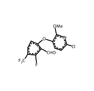 COc1nc(Cl)ccc1Oc1ccc(C(F)(F)F)c(F)c1[C]=O